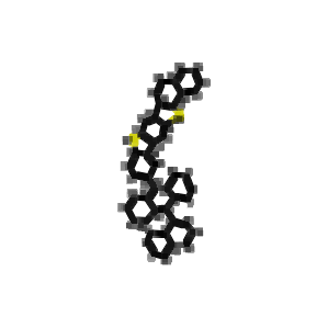 c1ccc2c(-c3c4ccccc4c(-c4ccc5sc6cc7c(cc6c5c4)sc4c5ccccc5ccc74)c4ccccc34)cccc2c1